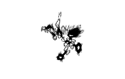 O=C(OC[C@@H]1O[C@H](OC[C@H]2O[C@@H](n3ncc(=O)[nH]c3=O)[C@H](O)[C@@H]2O)[C@@H](OC(=O)c2ccccc2)[C@H]1OC(=O)c1ccccc1)c1ccccc1